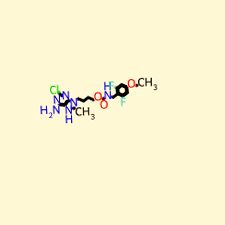 CCOc1cc(F)c(CNC(=O)OCCCCN2c3nc(Cl)nc(N)c3NC2C)c(F)c1